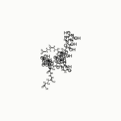 CC(C)=CCCC(C)=CCCC(C)=CCC(OP(=O)(O)OP(=O)(O)OP(=O)(O)O[C@H]1[C@@H](O)[C@H](n2ccc(=O)[nH]c2=O)O[C@@H]1C(CC=C(C)CCC=C(C)CCC=C(C)C)OP(=O)(O)OP(=O)(O)OP(=O)(O)O)[C@H]1O[C@@H](n2cnc3c(O)nc(O)nc32)[C@H](O)[C@@H]1O